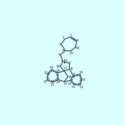 C1=CCCC(CN2CC3c4ccccc4C4CC3(C2)c2ccccc24)CC1